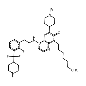 CC(C)N1CCC(c2cc3c(NCCc4cccc(C(F)(F)C5CCNCC5)c4F)ncnc3n(CCCCCCC=O)c2=O)CC1